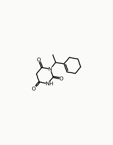 CC(C1=CCCCC1)N1C(=O)CC(=O)NC1=O